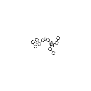 C1=CC2=C(CC1)C1(c3ccccc32)c2ccccc2-c2c(-c3ccc4sc5ccc(-c6nc(-c7cccc(-c8ccccc8)c7)nc(-c7cccc(-c8ccccc8)c7)n6)cc5c4c3)cccc21